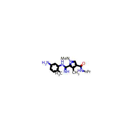 CCCNC(=O)c1cn(NC)c(C(=N)Nc2cc(N)ccc2C)c1C